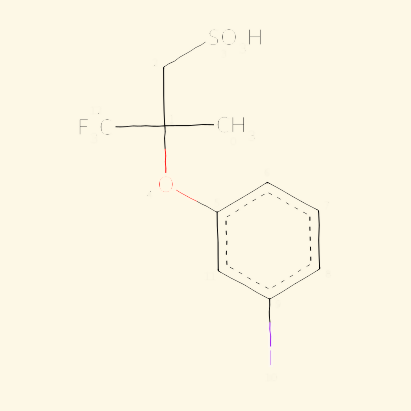 CC(CS(=O)(=O)O)(Oc1cccc(I)c1)C(F)(F)F